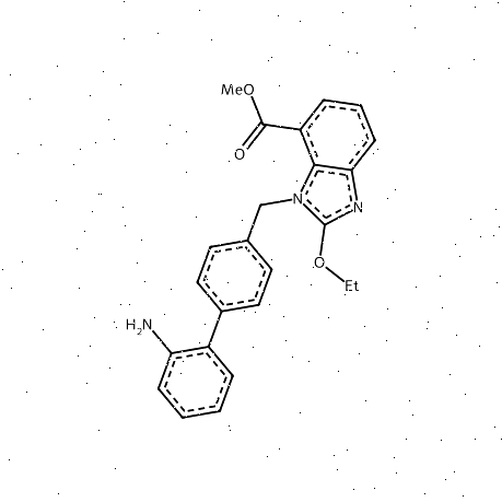 CCOc1nc2cccc(C(=O)OC)c2n1Cc1ccc(-c2ccccc2N)cc1